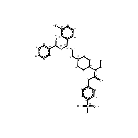 CCN(C(=O)Cc1ccc(S(C)(=O)=O)cc1)C1CCN(CC[C@H](NC(=O)c2ccccc2)c2cccc(F)c2)CC1